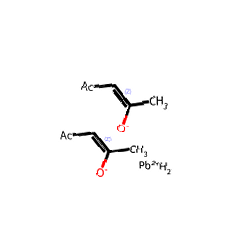 CC(=O)/C=C(/C)[O-].CC(=O)/C=C(/C)[O-].[PbH2+2]